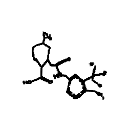 Cc1ccc(NC(=O)C2CC(C)CCC2C(=O)O)cc1C(F)(F)F